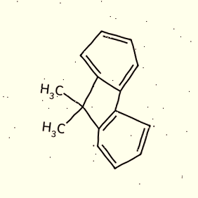 CC1(C)c2[c]cc[c]c2-c2ccccc21